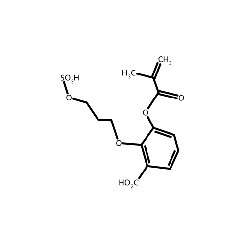 C=C(C)C(=O)Oc1cccc(C(=O)O)c1OCCCOS(=O)(=O)O